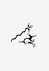 CCCCCCCCS(=O)(=O)[O-].O=C(O)CC(C(=O)O)S(=O)(=O)O.[Na+]